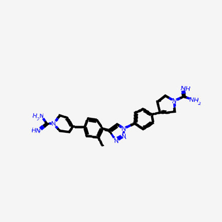 Cc1cc(C2=CCN(C(=N)N)CC2)ccc1-c1cn(-c2ccc(C3=CCN(C(=N)N)CC3)cc2)nn1